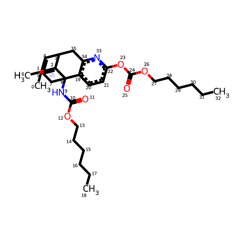 C/C=C1/C2C=C(C)CC1(NC(=O)OCCCCCC)c1ccc(OC(=O)OCCCCCC)nc1C2